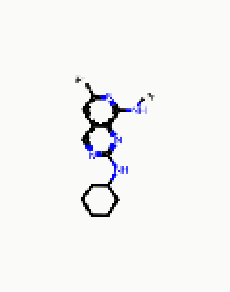 CC(C)Nc1nc(C(C)C)cc2cnc(NC3CCCCC3)nc12